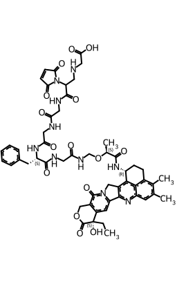 CC[C@@]1(O)C(=O)OCc2c1cc1n(c2=O)Cc2c-1nc1cc(C)c(C)c3c1c2[C@H](NC(=O)[C@H](C)OCNC(=O)CNC(=O)[C@H](Cc1ccccc1)NC(=O)CNC(=O)CNC(=O)C(CNCC(=O)O)N1C(=O)C=CC1=O)CC3